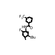 Cc1cc(F)c(NC(=O)c2cccc(C(F)(F)F)c2)cc1C(C)(C)C